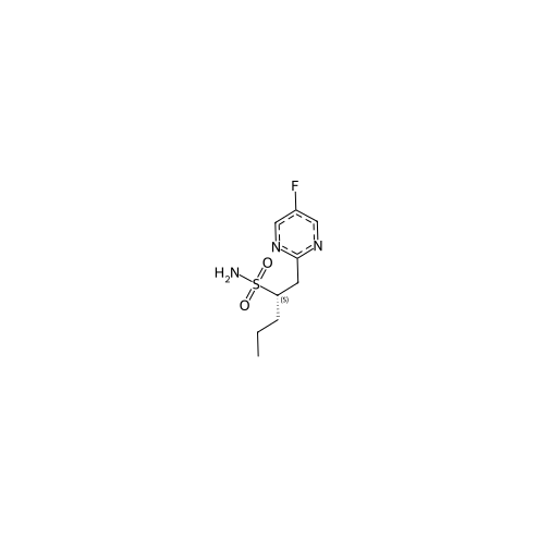 CCC[C@@H](Cc1ncc(F)cn1)S(N)(=O)=O